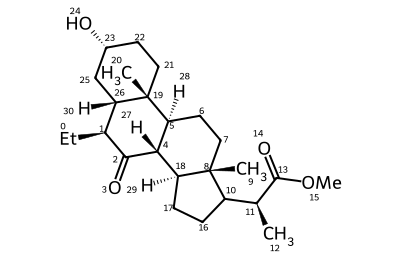 CC[C@@H]1C(=O)[C@@H]2[C@H](CC[C@]3(C)C([C@H](C)C(=O)OC)CC[C@@H]23)[C@@]2(C)CC[C@@H](O)C[C@@H]12